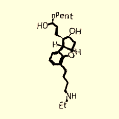 CCCCC[C@H](O)/C=C/[C@@H]1[C@H]2c3cccc(CCCCNCC)c3O[C@H]2C[C@H]1O